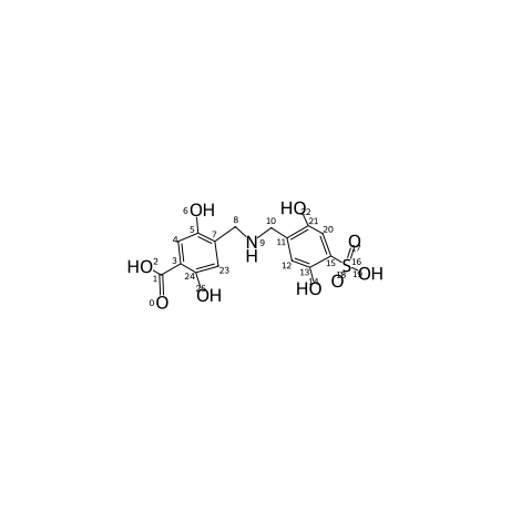 O=C(O)c1cc(O)c(CNCc2cc(O)c(S(=O)(=O)O)cc2O)cc1O